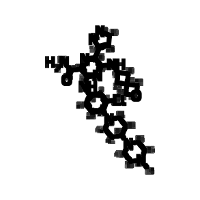 CCc1cc(Nc2nc(NC3CC4(COC4)C3)c(C3=CCN=N3)nc2C(N)=O)ccc1N1CCC(N2CCN(C)CC2)CC1